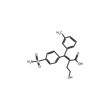 Cc1cccc(C(=C(CCO)C(=O)O)c2ccc(S(N)(=O)=O)cc2)c1